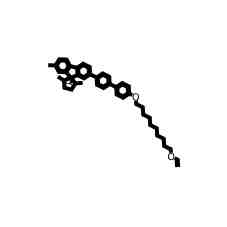 C=COCCCCCCCCCCOc1ccc(-c2ccc(-c3ccc4c(c3)C3(c5cc(C)ccc5-4)C4(C)CCC3(C)CC4)cc2)cc1